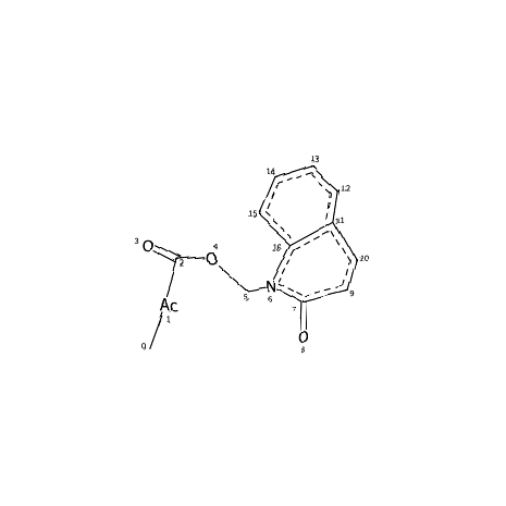 [CH3][Ac][C](=O)OCn1c(=O)ccc2ccccc21